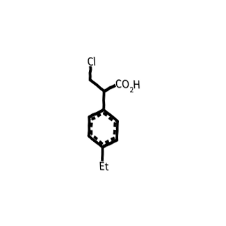 CCc1ccc(C(CCl)C(=O)O)cc1